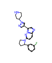 Fc1cccc(C2CCCN2c2ccc3ncc(-c4cnn(C5CCNCC5)c4)n3n2)c1